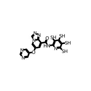 O=C(Nc1nc(S)c(S)c(S)c1S)c1cc(Oc2cncnc2)cn2cnnc12